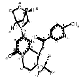 Cc1ccc(C(=O)CN2c3nc(N4C[C@@H]5C[C@H]4CO5)cc(=O)n3CC[C@H]2C(F)(F)F)cn1